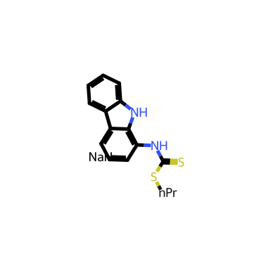 CCCSC(=S)Nc1cccc2c1[nH]c1ccccc12.[NaH]